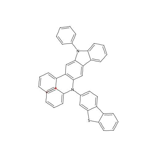 c1ccc(-c2cc3c(cc2N(c2ccccc2)c2ccc4c(c2)sc2ccccc24)c2ccccc2n3-c2ccccc2)cc1